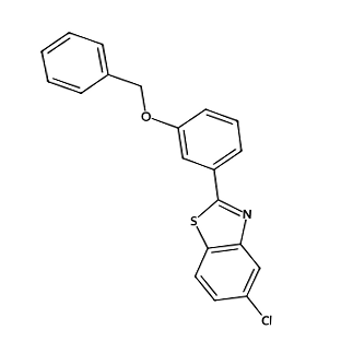 Clc1ccc2sc(-c3cccc(OCc4ccccc4)c3)nc2c1